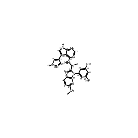 COc1ccc2nc([C@H](C)Nc3ncnc4[nH]cc(-c5cnn(C)c5)c34)n(-c3cc(F)cc(F)c3)c2n1